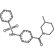 CC1CCCN(C(=O)c2ccc(NS(=O)(=O)c3ccccc3)cc2)C1